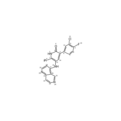 CC(C)c1[nH]c(=O)c(-c2ccc(F)c(Cl)c2)cc1Nc1ccnc2ccncc12